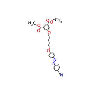 CCOC(=O)c1cc(OCCCCCCOc2ccc(N=Nc3ccc(C#N)cc3)cc2)cc(C(=O)OCC)c1